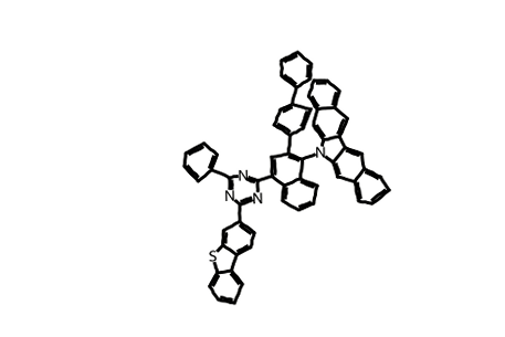 c1ccc(-c2ccc(-c3cc(-c4nc(-c5ccccc5)nc(-c5ccc6c(c5)sc5ccccc56)n4)c4ccccc4c3-n3c4cc5ccccc5cc4c4cc5ccccc5cc43)cc2)cc1